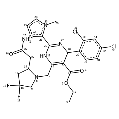 CCOC(=O)C1=C(CN2CC(F)(F)CC2CC(N)=O)NC(c2nccn2C)=NC1c1ccc(Cl)cc1Cl